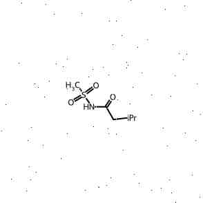 CC(C)CC(=O)NS(C)(=O)=O